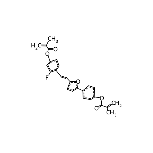 C=C(C)C(=O)Oc1ccc(-c2ccc(/C=C/c3ccc(OC(=O)C(=C)C)cc3F)o2)cc1